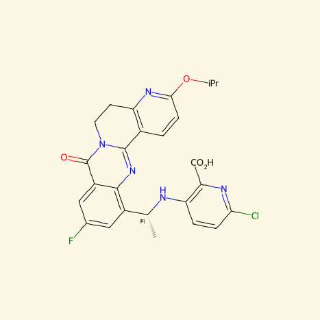 CC(C)Oc1ccc2c(n1)CCn1c-2nc2c([C@@H](C)Nc3ccc(Cl)nc3C(=O)O)cc(F)cc2c1=O